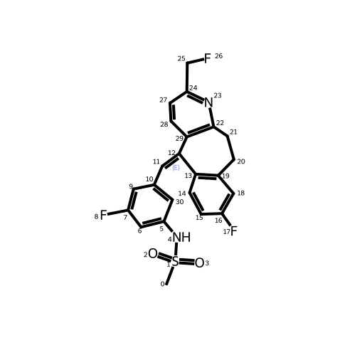 CS(=O)(=O)Nc1cc(F)cc(/C=C2\c3ccc(F)cc3CCc3nc(CF)ccc32)c1